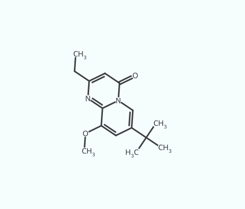 CCc1cc(=O)n2cc(C(C)(C)C)cc(OC)c2n1